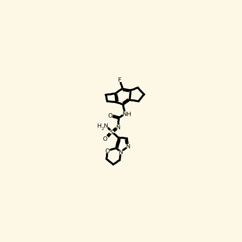 NS(=O)(=NC(=O)Nc1c2c(c(F)c3c1CC3)CCC2)c1cnn2c1OCCC2